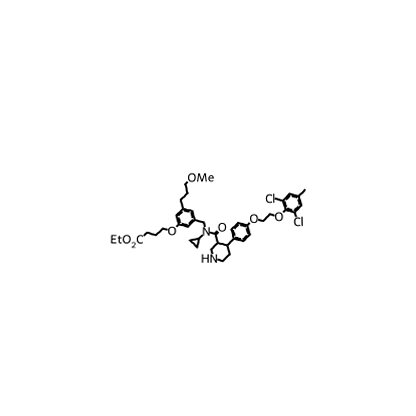 CCOC(=O)CCCOc1cc(CCCOC)cc(CN(C(=O)C2CNCCC2c2ccc(OCCOc3c(Cl)cc(C)cc3Cl)cc2)C2CC2)c1